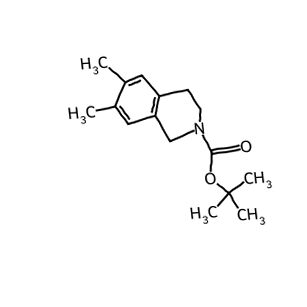 Cc1cc2c(cc1C)CN(C(=O)OC(C)(C)C)CC2